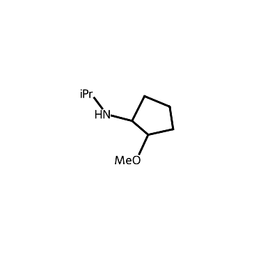 COC1CCCC1NC(C)C